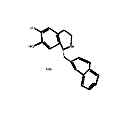 Br.Oc1cc2c(cc1O)[C@@H](Cc1ccc3ccccc3c1)NCC2